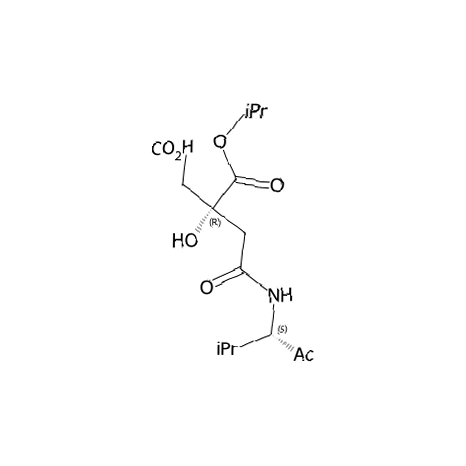 CC(=O)[C@@H](NC(=O)C[C@@](O)(CC(=O)O)C(=O)OC(C)C)C(C)C